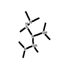 CN(C)[SiH](C)N([SiH](C)C)[SiH](C)N(C)C